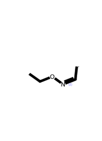 [CH2]/C=N\OCC